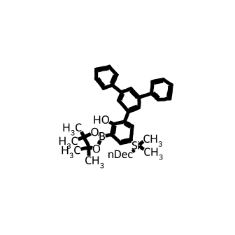 CCCCCCCCCC[Si](C)(C)c1cc(B2OC(C)(C)C(C)(C)O2)c(O)c(-c2cc(-c3ccccc3)cc(-c3ccccc3)c2)c1